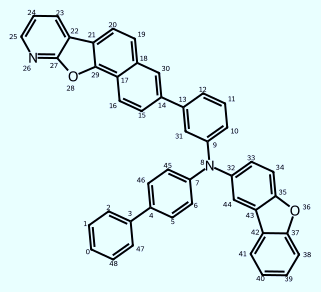 c1ccc(-c2ccc(N(c3cccc(-c4ccc5c(ccc6c7cccnc7oc56)c4)c3)c3ccc4oc5ccccc5c4c3)cc2)cc1